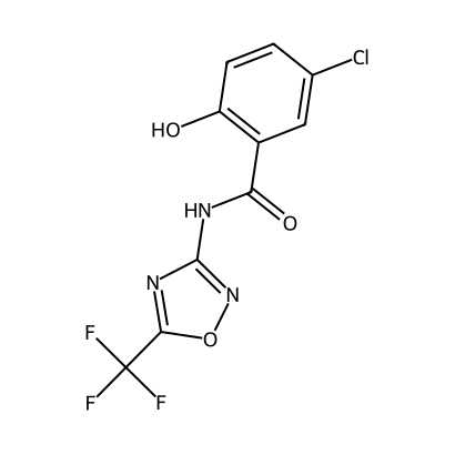 O=C(Nc1noc(C(F)(F)F)n1)c1cc(Cl)ccc1O